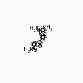 C=Nc1cc(C)ccc1Oc1cc([C@H]2CC(=O)N(c3cccc(C(N)=O)c3)C2)ccc1Cl